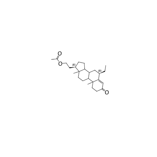 CC[C@@H]1CC2C(CCC3(C)C2CC[C@@H]3CCOC(C)=O)C2(C)CCC(=O)C=C12